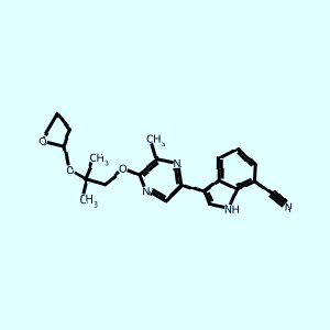 Cc1nc(-c2c[nH]c3c(C#N)cccc23)cnc1OCC(C)(C)OC1CCO1